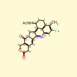 CC(=O)NC1CCc2c(C)c(F)cc3nc4c(c1c23)Cn1c-4cc2c(c1=O)COC(=O)C2